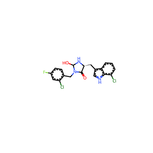 O=C1[C@@H](Cc2c[nH]c3c(Cl)cccc23)NC(O)N1Cc1ccc(F)cc1Cl